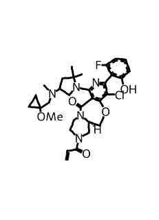 C=CC(=O)N1CCN2C(=O)c3c(N4CC(N(C)CC5(OC)CC5)CC4(C)C)nc(-c4c(O)cccc4F)c(Cl)c3OC[C@H]2C1